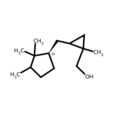 CC1CC[C@H](CC2CC2(C)CO)C1(C)C